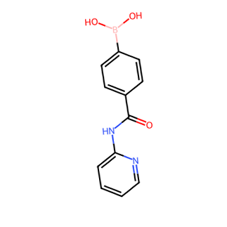 O=C(Nc1ccccn1)c1ccc(B(O)O)cc1